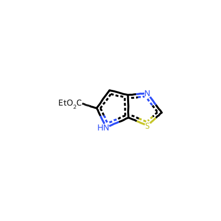 CCOC(=O)c1cc2ncsc2[nH]1